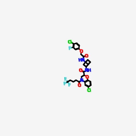 O=C(COc1ccc(Cl)c(F)c1)NC12CCC1C(NC(=O)C1CN(C(=O)CCCC(F)(F)F)c3cc(Cl)ccc3O1)C2